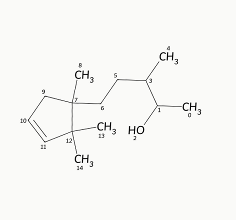 CC(O)C(C)CCC1(C)CC=CC1(C)C